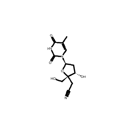 Cc1cn([C@H]2C[C@H](O)[C@](CO)(CC#N)O2)c(=O)[nH]c1=O